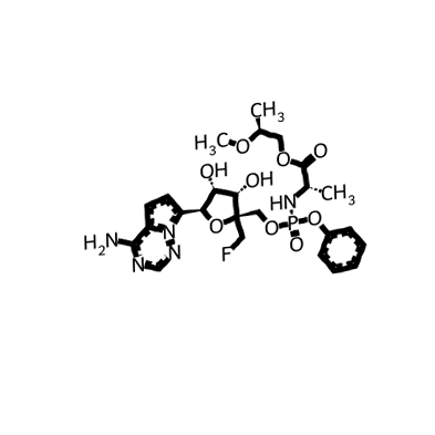 CO[C@@H](C)COC(=O)[C@H](C)N[P@](=O)(OC[C@@]1(CF)O[C@@H](c2ccc3c(N)ncnn23)[C@H](O)[C@@H]1O)Oc1ccccc1